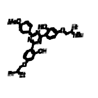 CCCCC(CC)COc1ccc(-c2nc(-c3ccc(OC)cc3)nc(-c3ccc(OCC(CC)CC)cc3O)n2)c(O)c1